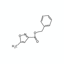 Cc1cc(C(=O)OCc2ccccc2)no1